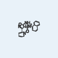 Nc1onc(-c2ccccn2)c1C(=O)Nc1cccc2ccccc12